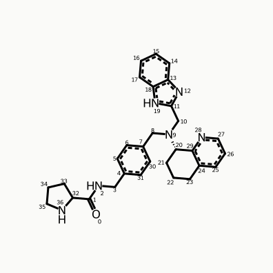 O=C(NCc1ccc(CN(Cc2nc3ccccc3[nH]2)[C@H]2CCCc3cccnc32)cc1)C1CCCN1